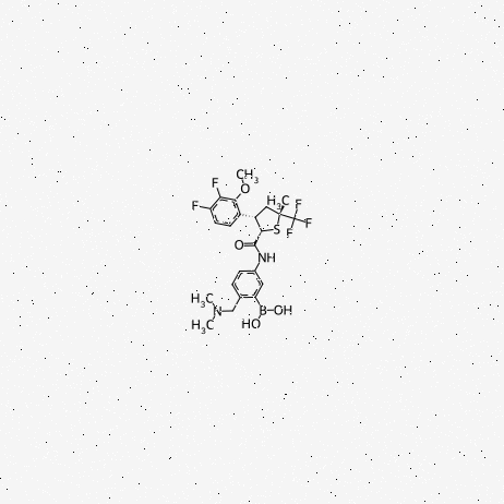 COc1c([C@@H]2C[C@](C)(C(F)(F)F)S[C@H]2C(=O)Nc2ccc(CN(C)C)c(B(O)O)c2)ccc(F)c1F